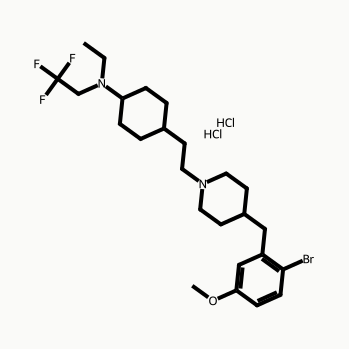 CCN(CC(F)(F)F)C1CCC(CCN2CCC(Cc3cc(OC)ccc3Br)CC2)CC1.Cl.Cl